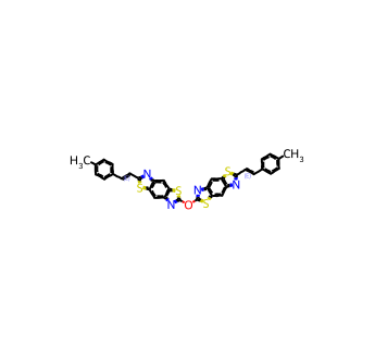 Cc1ccc(/C=C/c2nc3cc4sc(Oc5nc6cc7sc(/C=C/c8ccc(C)cc8)nc7cc6s5)nc4cc3s2)cc1